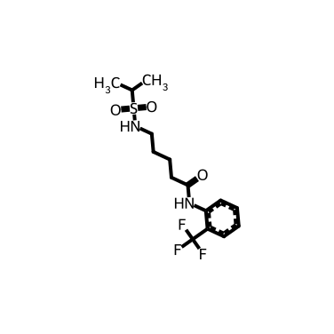 CC(C)S(=O)(=O)NCCCCC(=O)Nc1ccccc1C(F)(F)F